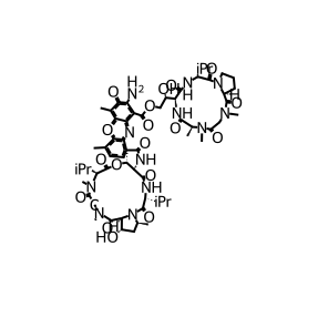 Cc1c2oc3c(C)ccc(C(=O)N[C@@H]4C(=O)N[C@H](C(C)C)C(=O)N5[C@H](C(=O)N(C)CC(=O)N(C)[C@@H](C(C)C)C(=O)O[C@@H]4C)[C@@H](O)C[C@@H]5C)c3nc-2c(C(=O)OC[C@H](O)[C@@H]2NC(=O)[C@H](C)N(C)C(=O)CN(C)C(=O)[C@@H]3CCCN3C(=O)[C@@H](C(C)C)NC2=O)c(N)c1=O